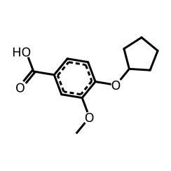 COc1cc(C(=O)O)ccc1OC1CCCC1